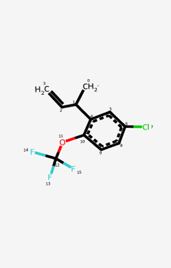 [CH2]C(C=C)c1cc(Cl)ccc1OC(F)(F)F